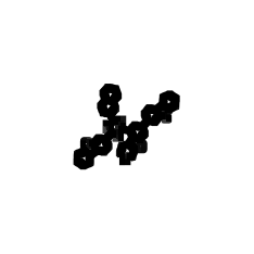 c1ccc2cc(-c3nc(-c4ccc5c(c4)oc4ccccc45)nc(-c4cc(-c5ccc6c(c5)sc5ccccc56)cc5oc6cnccc6c45)n3)ccc2c1